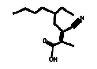 CCCCC(CC)CC(C#N)=C(C)C(=O)O